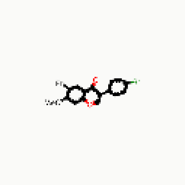 CCc1cc2c(=O)c(-c3ccc(Br)cc3)coc2cc1OC